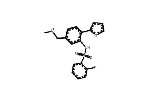 CNCc1ccc(-c2ccco2)c(NS(=O)(=O)c2ccccc2F)c1